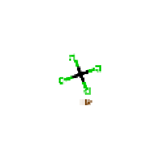 Br.ClC(Cl)(Cl)Cl